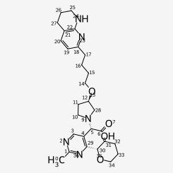 Cc1ncc([C@@H](C(=O)O)N2CC[C@@H](OCCCCc3ccc4c(n3)NCCC4)C2)c([C@@H]2CCCCO2)n1